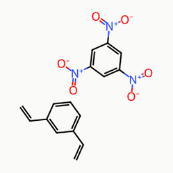 C=Cc1cccc(C=C)c1.O=[N+]([O-])c1cc([N+](=O)[O-])cc([N+](=O)[O-])c1